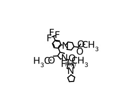 COCC1CN(C(=O)[C@]2(F)CN(C3CCCC3)C[C@H]2C)CC1c1ccc(C(F)(F)F)cc1N1CCC(C(=O)OC)CC1